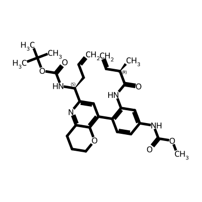 C=CC[C@H](NC(=O)OC(C)(C)C)c1cc(-c2ccc(NC(=O)OC)cc2NC(=O)[C@H](C)C=C)c2c(n1)CCCO2